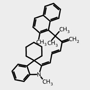 C=C(/C=C/C=C1/N(C)c2ccccc2C12CCCCC2)C(C)(C)c1c(C)ccc2ccccc12